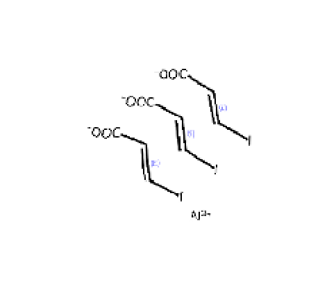 O=C([O-])/C=C/I.O=C([O-])/C=C/I.O=C([O-])/C=C/I.[Al+3]